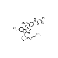 CCOc1ccc2c(c1)n(C1CCCCC1)c(=O)n2S(=O)(=O)c1ccc(NC(=O)CN(CC)CC)cc1OC.O=C(O)C=CC(=O)O